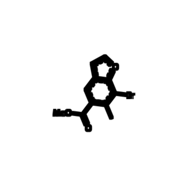 COC(=O)c1cc2ccoc2c(Br)c1C